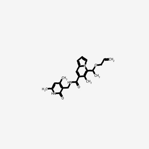 C=CCOC(C)c1c(C)c(C(=O)NCc2c(C)cc(C)[nH]c2=O)cc2cccn12